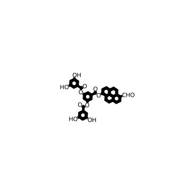 O=Cc1ccc2ccc3c(OC(=O)c4cc(OC(=O)c5cc(O)cc(O)c5)cc(OC(=O)c5cc(O)cc(O)c5)c4)ccc4ccc1c2c43